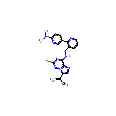 C=C(C)c1cnc2c(NCc3cccnc3-c3ccc(N(C)C)nc3)nc(Cl)nn12